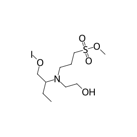 CCC(COI)N(CCO)CCCS(=O)(=O)OC